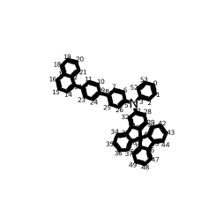 c1ccc(N(c2ccc(-c3ccc(-c4cccc5ccccc45)cc3)cc2)c2ccc3c(c2)-c2ccccc2C32c3ccccc3-c3ccccc32)cc1